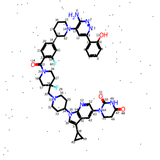 Nc1nnc(-c2ccccc2O)cc1N1CCC[C@H](c2ccc(C(=O)N3CCC(F)(CN4CCC(n5cc(C6CC6)c6cc(N7CCC(=O)NC7=O)cnc65)CC4)CC3)c(F)c2)C1